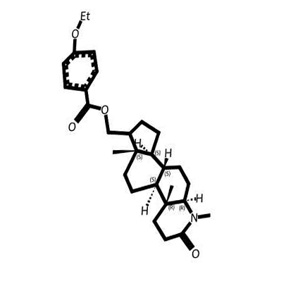 CCOc1ccc(C(=O)OCC2CC[C@H]3[C@@H]4CC[C@H]5N(C)C(=O)CC[C@]5(C)[C@H]4CC[C@]23C)cc1